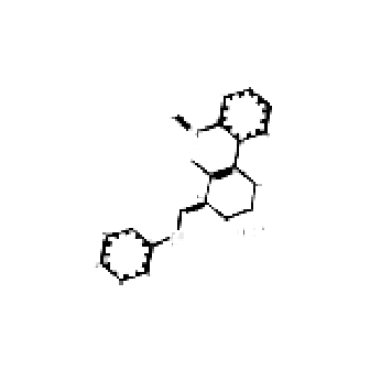 C=Nc1ccccc1C1=C(Cl)C(=CNc2ccccc2)CCC1.Cl